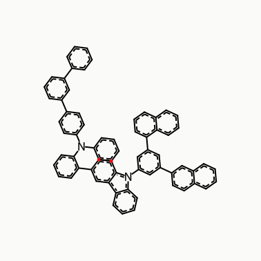 c1ccc(-c2cccc(-c3ccc(N(c4ccccc4)c4ccccc4-c4ccc5c(c4)c4ccccc4n5-c4cc(-c5ccc6ccccc6c5)cc(-c5cccc6ccccc56)c4)cc3)c2)cc1